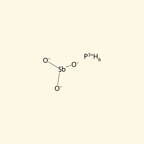 [O-][Sb]([O-])[O-].[PH6+3]